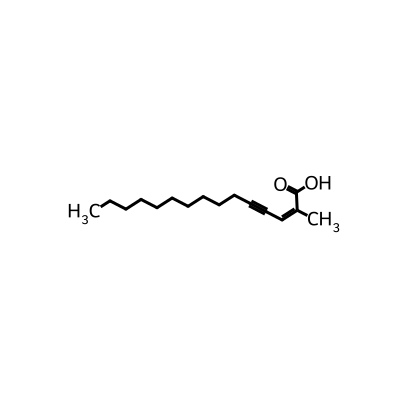 CCCCCCCCCCC#CC=C(C)C(=O)O